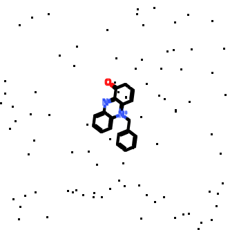 O=C1CC=Cc2c1nc1ccccc1[n+]2Cc1ccccc1